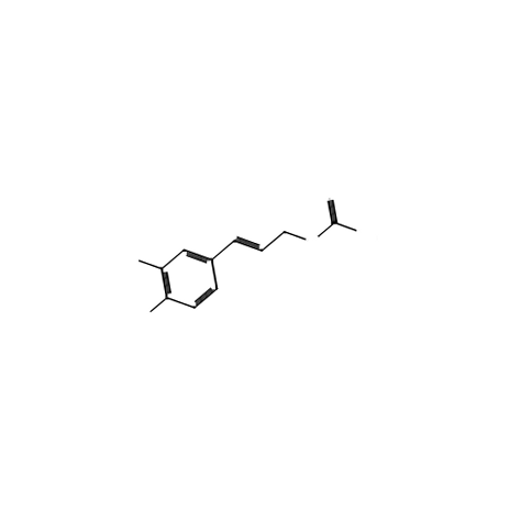 CC(=O)OCC=Cc1ccc(O)c(F)c1